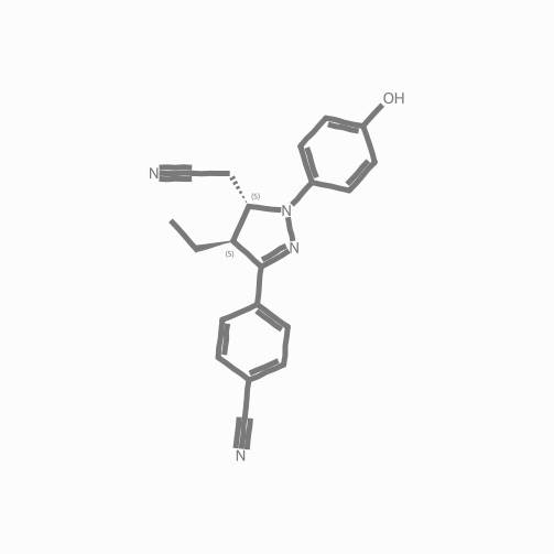 CC[C@@H]1C(c2ccc(C#N)cc2)=NN(c2ccc(O)cc2)[C@H]1CC#N